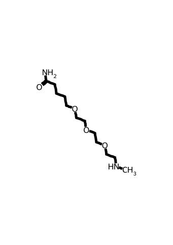 CNCCOCCOCCOCCCCC(N)=O